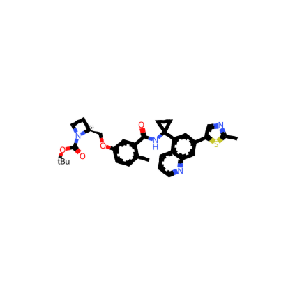 Cc1ncc(-c2cc(C3(NC(=O)c4cc(OC[C@@H]5CCN5C(=O)OC(C)(C)C)ccc4C)CC3)c3cccnc3c2)s1